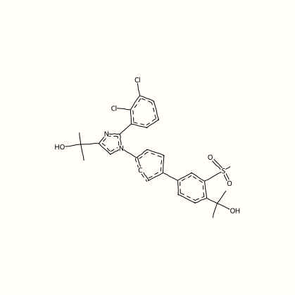 CC(C)(O)c1cn(-c2ccc(-c3ccc(C(C)(C)O)c(S(C)(=O)=O)c3)cc2)c(-c2cccc(Cl)c2Cl)n1